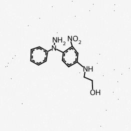 NN(c1ccccc1)c1ccc(NCCO)cc1[N+](=O)[O-]